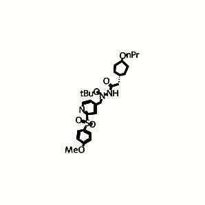 CCCO[C@H]1CC[C@H](CC(=O)NN(Cc2ccnc(S(=O)(=O)c3ccc(OC)cc3)c2)OC(C)(C)C)CC1